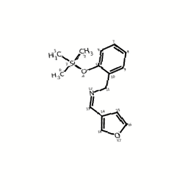 C[Si](C)(C)Oc1ccccc1C/N=C\c1ccoc1